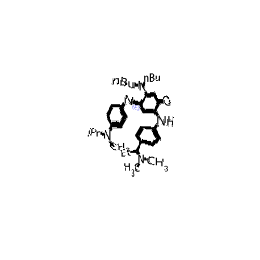 CCCCN(CCCC)C1=CC(=O)C(Nc2ccc(C(CC)N(C)C)cc2)=C/C1=N\c1ccc(N(C)C(C)C)cc1